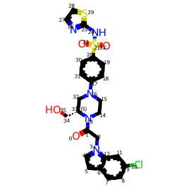 O=C(Cn1ccc2ccc(Cl)cc21)N1CCN(c2ccc(S(=O)(=O)Nc3nccs3)cc2)C[C@H]1CO